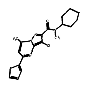 CN(C(=O)c1nn2c(C(F)(F)F)cc(-c3cccs3)nc2c1Cl)C1CCCCC1